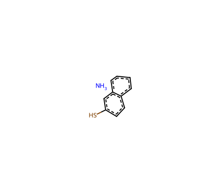 N.Sc1ccc2ccccc2c1